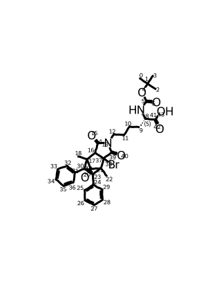 CC(C)(C)OC(=O)N[C@@H](CCCCN1C(=O)C2C3(C)C(=O)C(C)(C(c4ccccc4)=C3c3ccccc3)C2(Br)C1=O)C(=O)O